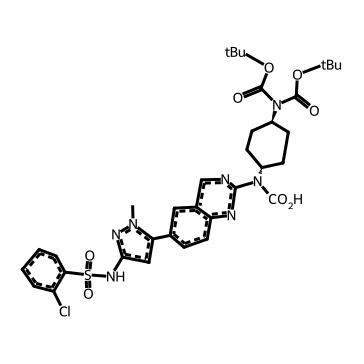 Cn1nc(NS(=O)(=O)c2ccccc2Cl)cc1-c1ccc2nc(N(C(=O)O)[C@H]3CC[C@H](N(C(=O)OC(C)(C)C)C(=O)OC(C)(C)C)CC3)ncc2c1